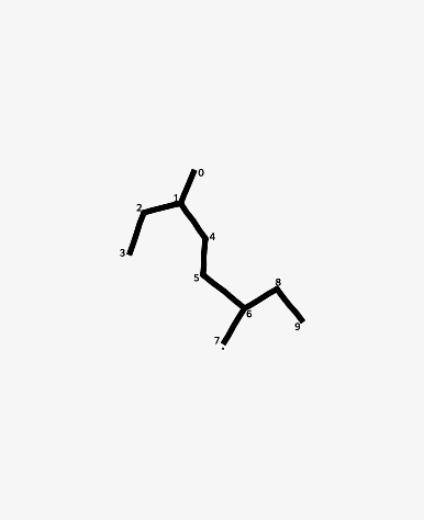 [CH2]C(CC)CCC([CH2])CC